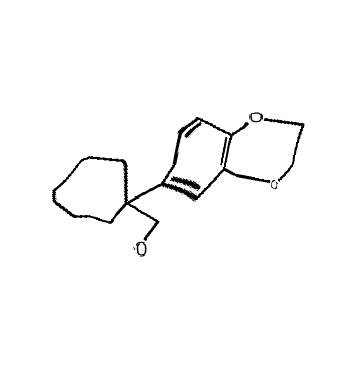 [O]CC1(c2ccc3c(c2)OCCO3)CCCCC1